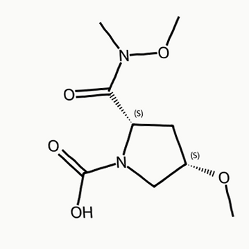 CO[C@H]1C[C@@H](C(=O)N(C)OC)N(C(=O)O)C1